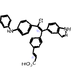 CC/C(=C(/c1ccc(/C=C/C(=O)O)cc1)c1ccc2[nH]ncc2c1)c1ccc(Nc2ccccc2)cc1